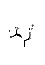 C[B]CC.F.F.F.O=C(O)O